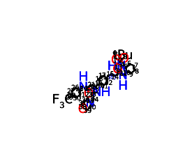 CC(C)(C)OC(=O)Nc1ccccc1NC(=O)/C=C/c1ccc(C(CC(=O)Nc2ccc(C(F)(F)F)cc2)NCCN2CCOCC2)cc1